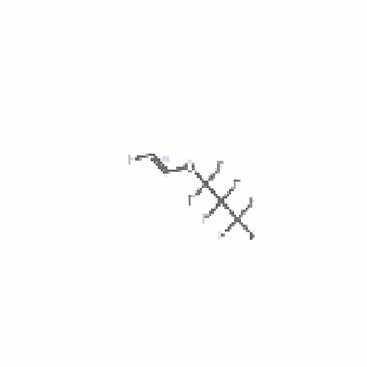 F/C=C/OC(F)(F)C(F)(F)C(F)(F)F